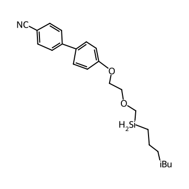 CCC(C)CCC[SiH2]COCCOc1ccc(-c2ccc(C#N)cc2)cc1